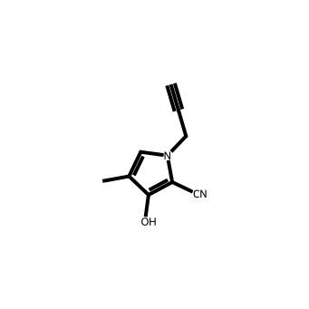 C#CCn1cc(C)c(O)c1C#N